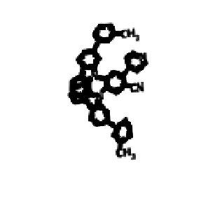 Cc1cccc(-c2ccc3c4ccccc4n(-c4cc(C#N)c(-c5ccncc5)cc4-n4c5ccccc5c5ccc(-c6cccc(C)c6)cc54)c3c2)c1